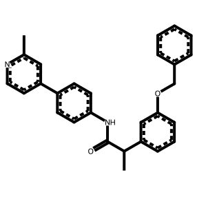 Cc1cc(-c2ccc(NC(=O)C(C)c3cccc(OCc4ccccc4)c3)cc2)ccn1